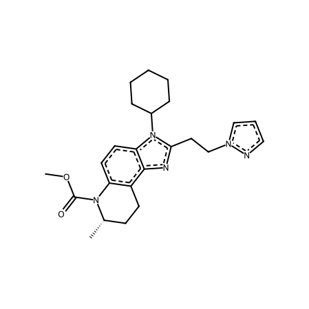 COC(=O)N1c2ccc3c(nc(CCn4cccn4)n3C3CCCCC3)c2CC[C@@H]1C